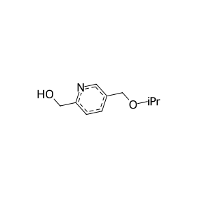 CC(C)OCc1ccc(CO)nc1